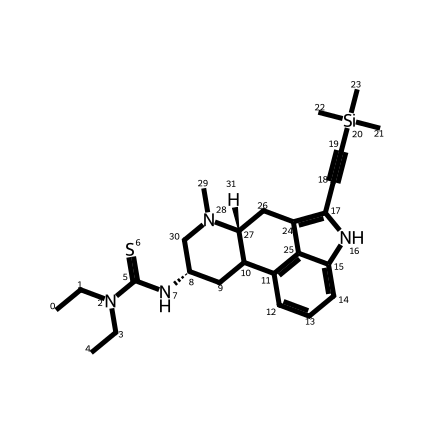 CCN(CC)C(=S)N[C@H]1CC2c3cccc4[nH]c(C#C[Si](C)(C)C)c(c34)C[C@H]2N(C)C1